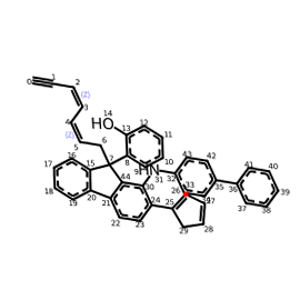 C#C/C=C\C=C/CC1(c2ccccc2O)c2ccccc2-c2ccc(C3=CC=CC3)c(Nc3ccc(-c4ccccc4)cc3)c21